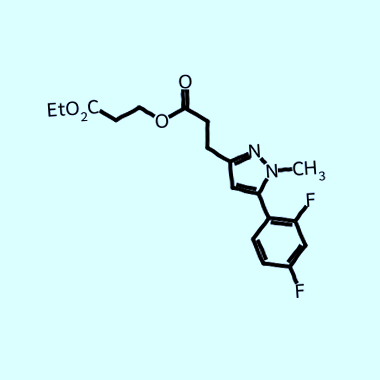 CCOC(=O)CCOC(=O)CCc1cc(-c2ccc(F)cc2F)n(C)n1